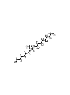 CCCCCCCCC[SiH]CCCCCCCCC